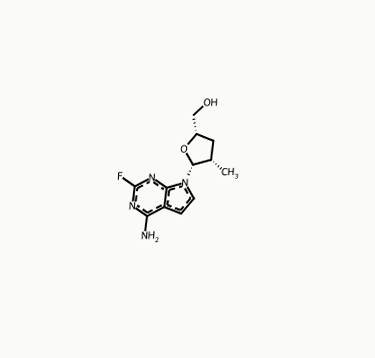 C[C@H]1C[C@@H](CO)O[C@H]1n1ccc2c(N)nc(F)nc21